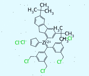 CC(C)(C)c1ccc2c(c1)-c1cc(C(C)(C)C)c[c]([Zr+2]([C]3=CC=CC3)=[C](c3cc(CCl)cc(CCl)c3)c3cc(CCl)cc(CCl)c3)c1C2.[Cl-].[Cl-]